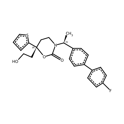 C[C@@H](c1ccc(-c2ccc(F)cc2)cc1)N1CC[C@@](CCO)(c2cccs2)OC1=O